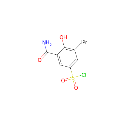 CC(C)c1cc(S(=O)(=O)Cl)cc(C(N)=O)c1O